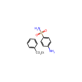 CCOC(=O)c1ccccc1.Nc1ccc(S(N)(=O)=O)cc1